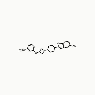 COc1cccc(OC2CN(C3CCC(c4cc5cc(C#N)ccc5[nH]4)CC3)C2)c1